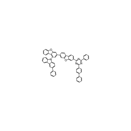 c1ccc(-c2ccc(-c3nc(-c4ccccc4)nc(-c4ccc5c(c4)oc4cc(-c6cc(-n7c8ccccc8c8cc(-c9ccccc9)ccc87)c7c(c6)oc6ccccc67)ccc45)n3)cc2)cc1